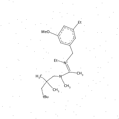 CCc1cc(C/[N+](CC)=C(\C)N(C)CC(C)(C)CC(C)(C)C)cc(OC)c1